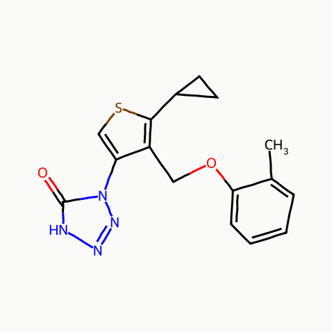 Cc1ccccc1OCc1c(-n2nn[nH]c2=O)csc1C1CC1